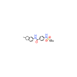 CC1Cc2ccc(NC(=O)c3ccc(NS(=O)(=O)C(C)(C)C)cc3)cc2C1